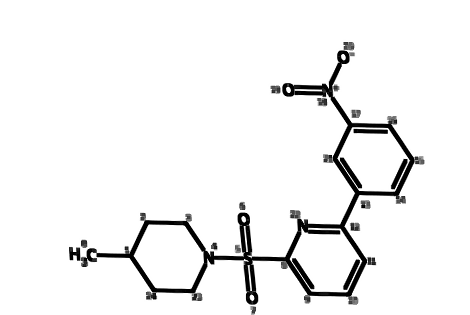 CC1CCN(S(=O)(=O)c2cccc(-c3cccc([N+](=O)[O-])c3)n2)CC1